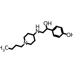 CCCCN1CCC(NCC(O)c2ccc(O)cc2)CC1